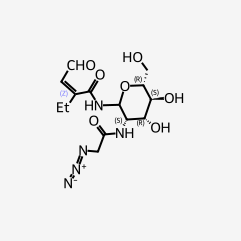 CC/C(=C/C=O)C(=O)NC1O[C@H](CO)[C@@H](O)[C@H](O)[C@@H]1NC(=O)CN=[N+]=[N-]